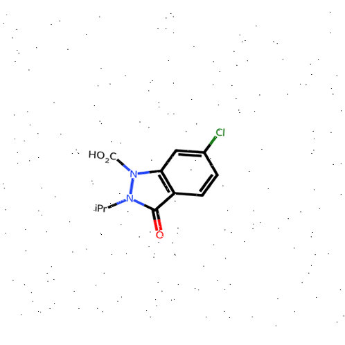 CC(C)n1c(=O)c2ccc(Cl)cc2n1C(=O)O